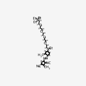 [C-]#[N+]c1c(/N=N/c2ccc(N(CC)CCOCCOCCOCCOCC[N+](CC)(CC)CC)cc2C)sc(C#N)c1C